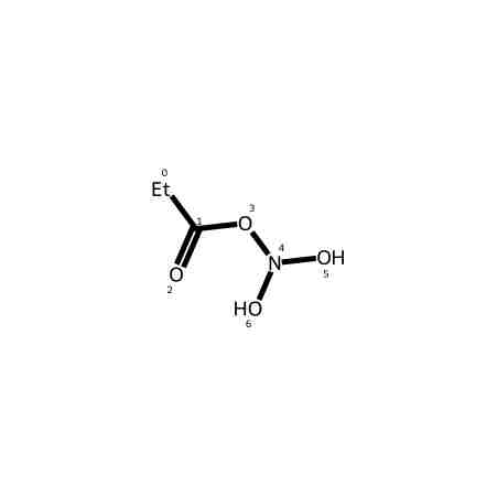 CCC(=O)ON(O)O